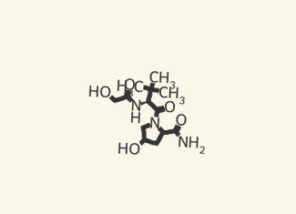 CC(C)(C)[C@H](NC(=O)CO)C(=O)N1CC(O)CC1C(N)=O